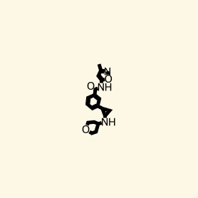 Cc1cc(NC(=O)c2cccc(C3CC3NC3CCOCC3)c2)on1